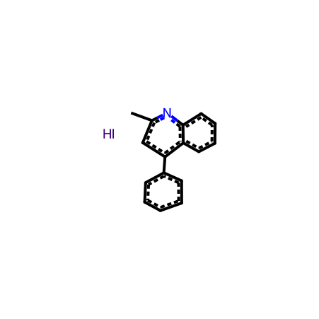 Cc1cc(-c2ccccc2)c2ccccc2n1.I